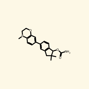 CN1CCOc2cc(-c3ccc4c(c3)CC(C)(C)C4OC(N)=O)ccc21